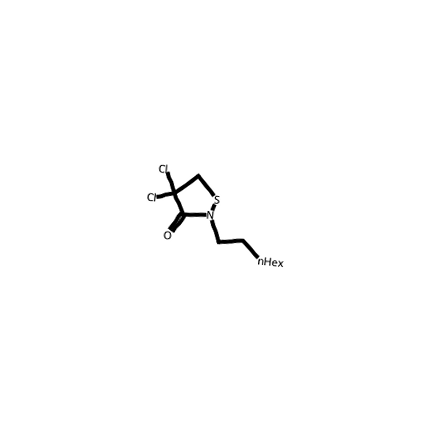 CCCCCCCCN1SCC(Cl)(Cl)C1=O